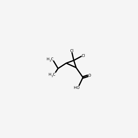 CC(C)C1C(C(=O)O)C1(Cl)Cl